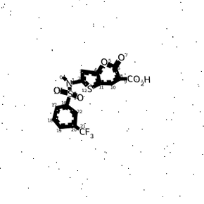 CN(c1cc2oc(=O)c(C(=O)O)cc2s1)S(=O)(=O)c1cccc(C(F)(F)F)c1